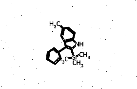 Cc1ccc2[nH]c([Si](C)(C)C)c(-c3ccccc3)c2c1